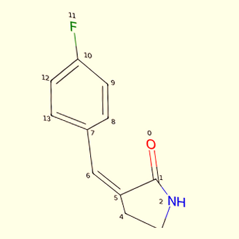 O=C1NCC/C1=C/c1ccc(F)cc1